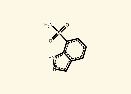 NS(=O)(=O)c1cccc2cn[nH]c12